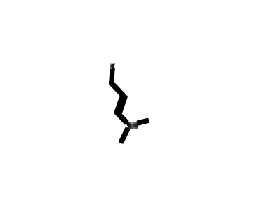 C[SiH](C)C=C[CH2][K]